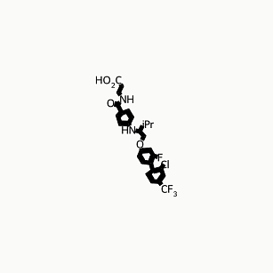 CC(C)C(COc1ccc(-c2ccc(C(F)(F)F)cc2Cl)c(F)c1)Nc1ccc(C(=O)NCCC(=O)O)cc1